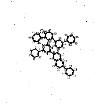 C1=CCCC(c2nc(-c3ccc4cc(-c5ccccc5)ccc4c3)nc(-c3c(-c4cccc(-c5ccccc5)c4)ccc4oc5ccccc5c34)n2)=C1